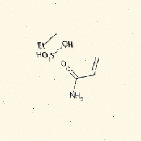 C=CC(N)=O.CCC.O=S(=O)(O)O